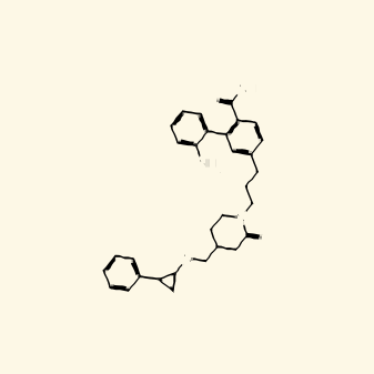 NC(=O)c1ccc(CCCN2CCC(CNC3CC3c3ccccc3)CC2=O)cc1-c1ccccc1N